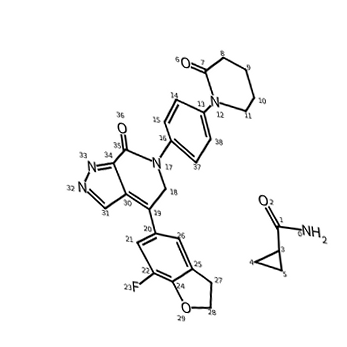 NC(=O)C1CC1.O=C1CCCCN1c1ccc(N2CC(c3cc(F)c4c(c3)CCO4)=C3C=NN=C3C2=O)cc1